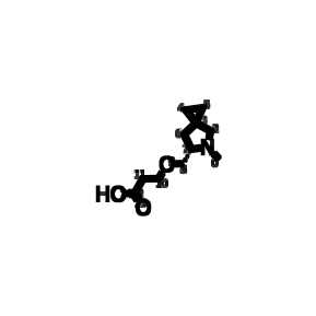 CN1CC2(CC2)C[C@H]1COCCC(=O)O